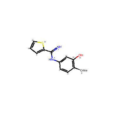 COc1ccc(NC(=N)c2cccs2)cc1O